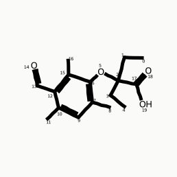 CCC(CC)(Oc1c(C)cc(C)c(C=O)c1C)C(=O)O